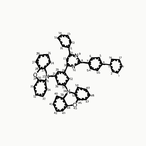 c1ccc(-c2ccc(-c3nc(-c4ccccc4)cc(-c4cc(N5c6ccccc6Oc6ccccc65)cc(N5c6ccccc6Oc6ccccc65)c4)n3)cc2)cc1